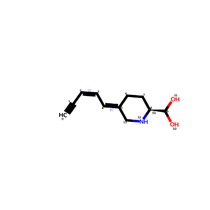 C#C/C=C\C=C1/CC[C@@H](C(O)O)NC1